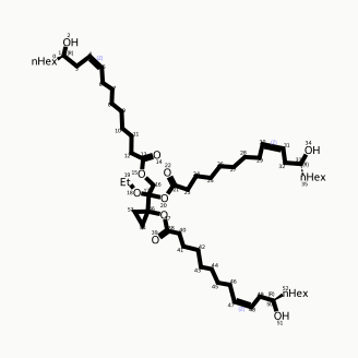 CCCCCC[C@@H](O)C/C=C\CCCCCCCC(=O)OCC(OCC)(OC(=O)CCCCCCC/C=C\C[C@H](O)CCCCCC)C1(OC(=O)CCCCCCC/C=C\C[C@H](O)CCCCCC)CC1